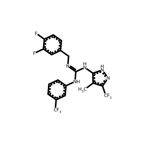 Cc1c(C(F)(F)F)n[nH]c1N/C(=N\Cc1ccc(F)c(F)c1)Nc1cccc(C(F)(F)F)c1